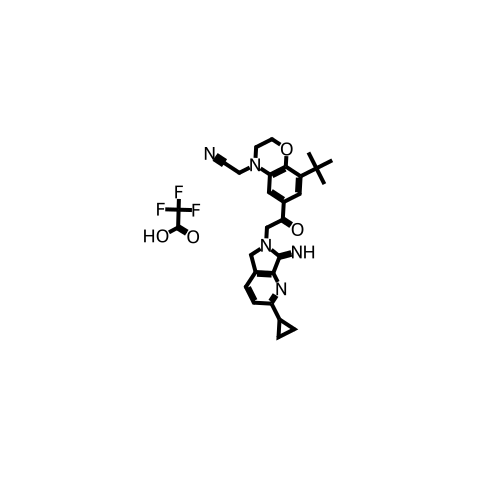 CC(C)(C)c1cc(C(=O)CN2Cc3ccc(C4CC4)nc3C2=N)cc2c1OCCN2CC#N.O=C(O)C(F)(F)F